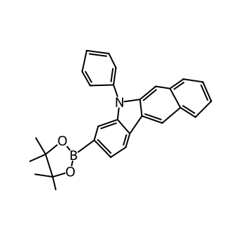 CC1(C)OB(c2ccc3c4cc5ccccc5cc4n(-c4ccccc4)c3c2)OC1(C)C